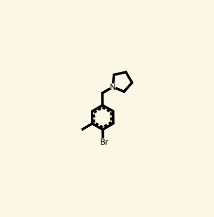 Cc1cc(CN2CCCC2)ccc1Br